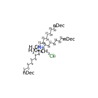 CCCCCCCCCCCCCCCCCCC(C)(C)[N+](C)(CCCCCCCCCCCCCCCCCC)CCCCCCCCCCCCCCCCCC.[Cl-]